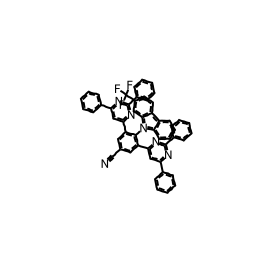 N#Cc1cc(-c2cc(-c3ccccc3)nc(-c3ccccc3)n2)c(-n2c3ccccc3c3ccc(C(F)(F)F)cc32)c(-c2cc(-c3ccccc3)nc(-c3ccccc3)n2)c1